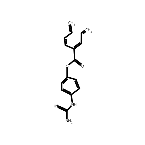 C=C/C=C\C(=C/C=C)C(=O)Oc1ccc(NC(=N)N)cc1